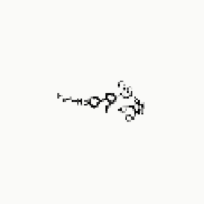 COCc1nnn(C[C@H]2CN(c3ccc(-c4ccc(CNCCCF)cc4)c(F)c3)C(=O)O2)c1COC